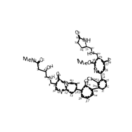 CNC(=O)CC(O)CNCc1cnc2cc(-c3cccc(-c4cccc(-c5cc(F)c(CNCC6CCC(=O)N6)c(OC)n5)c4Cl)c3Cl)ccn2c1=O